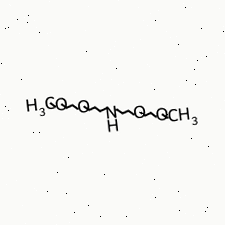 CCOCCCOCCCCNCCCCOCCCOCC